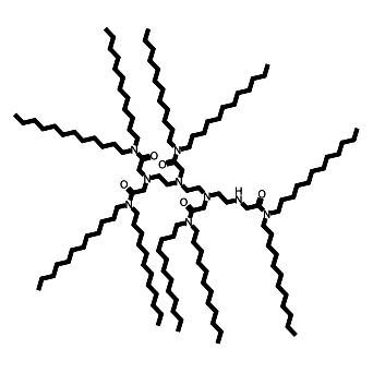 CCCCCCCCCCCCN(CCCCCCCCCCCC)C(=O)CNCCN(CCN(CCN(CC(=O)N(CCCCCCCCCCCC)CCCCCCCCCCCC)CC(=O)N(CCCCCCCCCCCC)CCCCCCCCCCCC)CC(=O)N(CCCCCCCCCCCC)CCCCCCCCCCCC)CC(=O)N(CCCCCCCCCCCC)CCCCCCCCCCCC